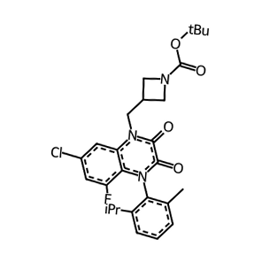 Cc1cccc(C(C)C)c1-n1c(=O)c(=O)n(CC2CN(C(=O)OC(C)(C)C)C2)c2cc(Cl)cc(F)c21